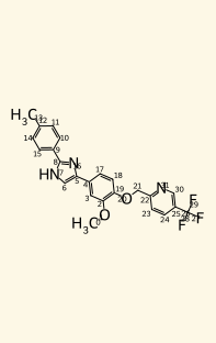 COc1cc(-c2c[nH]c(-c3ccc(C)cc3)n2)ccc1OCc1ccc(C(F)(F)F)cn1